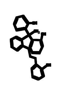 CC(c1ccccc1O)(c1ccccc1O)c1ccccc1CCCc1ccccc1O